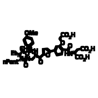 CCCCC[C@@H](C(=O)NCNC(=O)c1ccc(-c2ccc(C(=O)N[C@@H](CC(=O)O)C(=O)O)c(OCC(=O)O)c2)o1)[C@@H](CC)N(C=O)OC(=O)c1ccc(OC)cc1